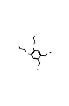 CC(=O)SCc1cc(OCCN)c(OCCN)cc1CSC(C)=O